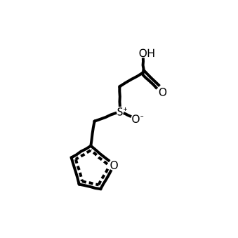 O=C(O)C[S+]([O-])Cc1ccco1